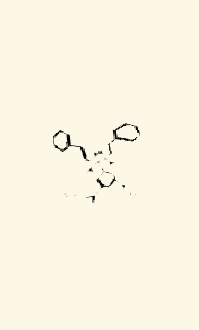 COC(=O)C1=CC(N(S(=O)(=O)/C=C/c2ccccc2)S(=O)(=O)/C=C/c2ccccc2)CC(C(=O)OC)=C1